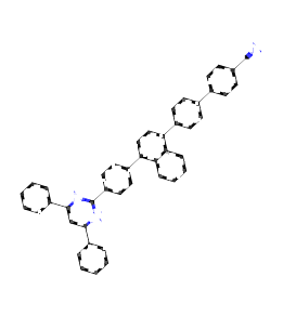 N#Cc1ccc(-c2ccc(-c3ccc(-c4ccc(-c5nc(-c6ccccc6)cc(-c6ccccc6)n5)cc4)c4ccccc34)cc2)cc1